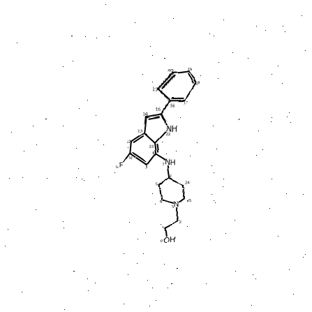 OCCN1CCC(Nc2cc(F)cc3cc(-c4ccccc4)[nH]c23)CC1